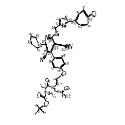 C[C@H](NC(=O)OC(C)(C)C)C(=O)N(CCOc1ccc(-c2c(C#N)c(SCc3csc(-c4ccc(Cl)cc4)n3)nc(N3CCCC3)c2C#N)cc1)[C@@H](C)C(=O)O